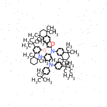 CCC(C)(C)c1ccc(N(c2ccc(C(C)(C)C)cc2)c2cc3c4c(c2)N2c5c(cc(C(C)(C)C)cc5C5(C)CCCCC25C)B4c2c(oc4cc5c(cc24)C(C)(C)CCC5(C)C)N3c2ccc3c(c2)C(C)(C)CCC3(C)C)cc1